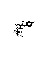 COC(C)(C)OC(=O)C(C=O)C(=O)Cc1ccc(F)cc1